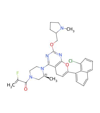 C=C(F)C(=O)N1CCN(c2nc(OCC3CCCN3C)nc3c2CC=C(c2cccc4cccc(Cl)c24)O3)[C@@H](C)C1